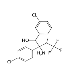 CC(C(F)(F)F)C(N)(c1ccc(Cl)cc1)C(O)c1cccc(Cl)c1